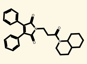 O=C1C(c2ccccc2)=C(c2ccccc2)C(=O)N1CCC(=O)N1CCCC2CCCCC21